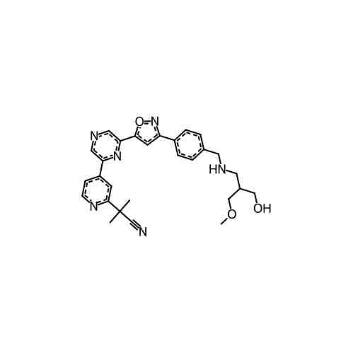 COCC(CO)CNCc1ccc(-c2cc(-c3cncc(-c4ccnc(C(C)(C)C#N)c4)n3)on2)cc1